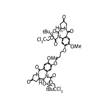 COc1cc2c(cc1OCCCOc1cc3c(cc1OC)C(=O)N1CC(=O)C[C@H]1[C@H](O[Si](C)(C)C(C)(C)C)N3C(=O)OCC(Cl)(Cl)Cl)N(C(=O)OCC(Cl)(Cl)Cl)[C@@H](O[Si](C)(C)C(C)(C)C)[C@@H]1CC(=O)CN1C2=O